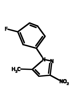 Cc1cc([N+](=O)[O-])nn1-c1cccc(F)c1